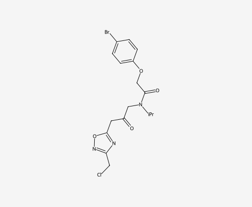 CC(C)N(CC(=O)Cc1nc(CCl)no1)C(=O)COc1ccc(Br)cc1